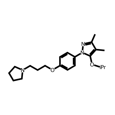 Cc1nn(-c2ccc(OCCCN3CCCC3)cc2)c(OC(C)C)c1C